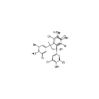 CCC(CC(C)(c1cc(Br)c(O)c(Br)c1)c1cc(Br)c(O)c(Br)c1)(c1cc(Cl)c(O)c(Cl)c1)c1cc(Cl)c(O)c(Cl)c1